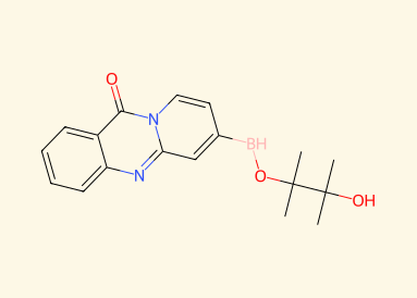 CC(C)(O)C(C)(C)OBc1ccn2c(=O)c3ccccc3nc2c1